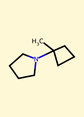 CC1(N2CCCC2)CCC1